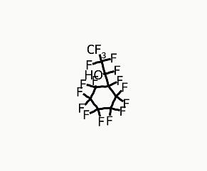 OC(F)(C(F)(F)C(F)(F)F)C1(F)C(F)(F)C(F)(F)C(F)(F)C(F)(F)C1(F)F